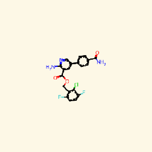 NC(=O)c1ccc(-c2cnc(N)c(C(=O)OCc3c(F)ccc(F)c3Cl)c2)cc1